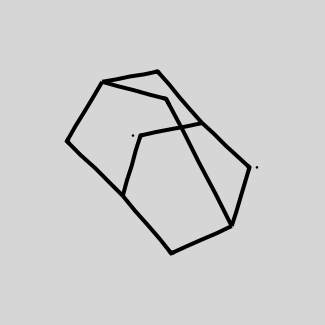 [CH]1C2[CH]C3CC1CC(C2)C3